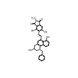 CN1C(=O)c2cc(C#N)c(/N=N/c3cc4c(c5cccc(O)c35)N(Cc3ccccc3)CC(O)C4)c(Br)c2C1=O